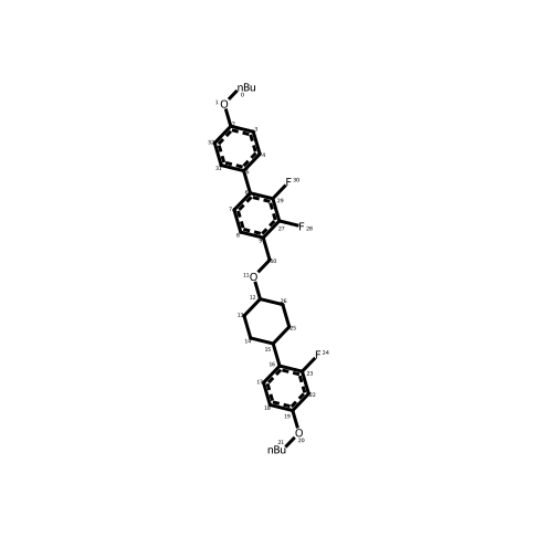 CCCCOc1ccc(-c2ccc(COC3CCC(c4ccc(OCCCC)cc4F)CC3)c(F)c2F)cc1